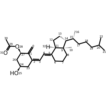 C=C1/C(=C\C=C2CCC[C@@]3(C)[C@@H]2CC[C@@H]3[C@H](C)CCCC(C)C)C[C@@H](O)C[C@H]1OC(C)=O